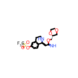 N=C(/C=C1\NCCc2cc(OS(=O)(=O)C(F)(F)F)ccc21)OC[C@H]1COCCO1